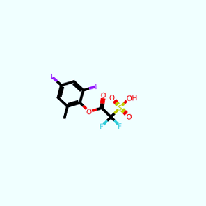 Cc1cc(I)cc(I)c1OC(=O)C(F)(F)S(=O)(=O)O